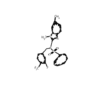 Cc1ccc2nc(N(Cc3ccc(C(F)(F)F)c(F)c3)S(=O)(=O)c3ccccc3)n(C)c2c1